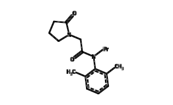 Cc1cccc(C)c1N(C(=O)CN1CCCC1=O)C(C)C